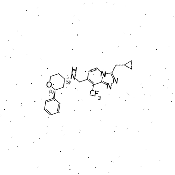 FC(F)(F)c1c(CN[C@H]2CCO[C@H](c3ccccc3)C2)ccn2c(CC3CC3)nnc12